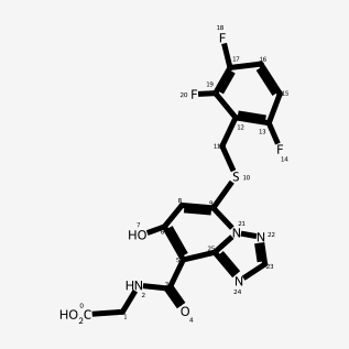 O=C(O)CNC(=O)c1c(O)cc(SCc2c(F)ccc(F)c2F)n2ncnc12